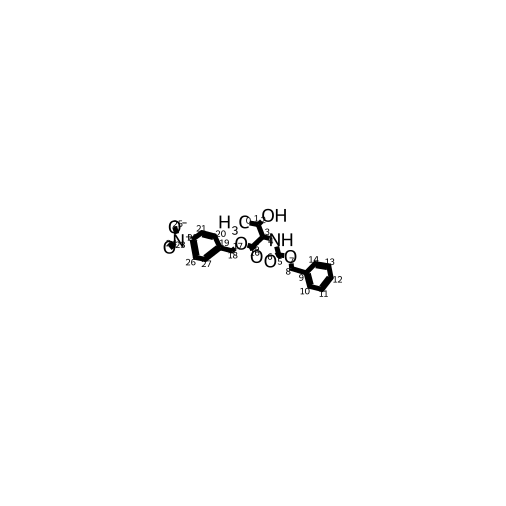 CC(O)C(NC(=O)OCc1ccccc1)C(=O)OCc1ccc([N+](=O)[O-])cc1